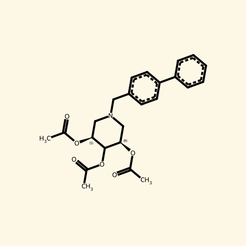 CC(=O)OC1[C@@H](OC(C)=O)CN(Cc2ccc(-c3ccccc3)cc2)C[C@H]1OC(C)=O